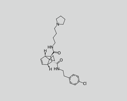 O=C(NCCCCN1CCCC1)[C@H]1[C@H](C(=O)NCCc2ccc(Cl)cc2)[C@@H]2C=C[C@H]1C21CC1